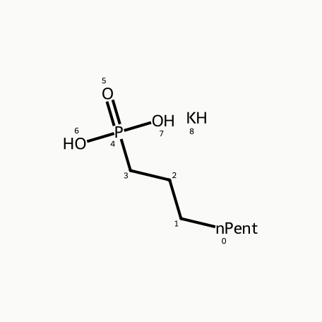 CCCCCCCCP(=O)(O)O.[KH]